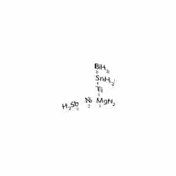 [BiH3].[MgH2].[Ni].[SbH3].[SnH2].[Ti]